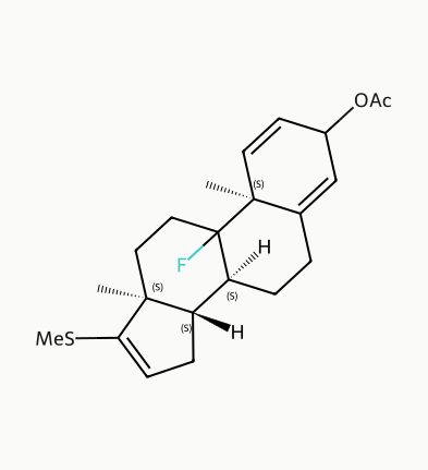 CSC1=CC[C@H]2[C@@H]3CCC4=CC(OC(C)=O)C=C[C@]4(C)C3(F)CC[C@]12C